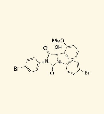 COc1ccccc1C1(O)C(=O)N(c2ccc(Br)cc2)C(=O)N1c1ccc(Br)cc1